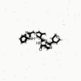 CC1CN(Cc2nc3ccccc3[nH]2)CC1c1nn2c(C3CCOCC3)ncc2c(=O)[nH]1